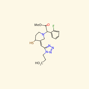 COC(=O)C(c1ccccc1F)N1CCC(S)/C(=C/c2nnnn2CCC(=O)O)C1